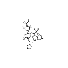 C=CC(=O)N1[C@H](C)CN(c2nc(=O)n3c4c(c(-c5ccc(F)cc5F)c(C(F)(F)F)cc24)SCC(N2CCCC2)C3)C[C@@H]1C